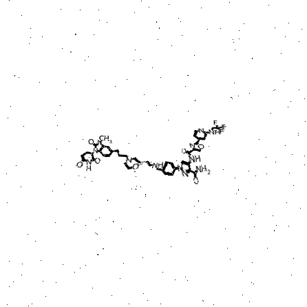 Cn1c(=O)n(C2CCC(=O)NC2=O)c2ccc(CCCN3CCO[C@@H](CCNCc4ccc(-n5cc(NC(=O)c6coc(-c7ccnc(NCC(F)(F)F)c7)n6)c(C(N)=O)n5)cc4)C3)cc21